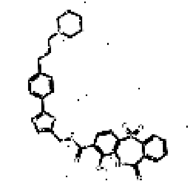 Cc1c(C(=O)NCc2cnc(-c3ccc(CCCN4CCCCC4)cc3)s2)ccc2c1NC(=O)c1ccccc1S2(=O)=O